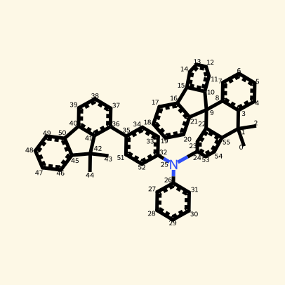 CC1(C)c2ccccc2C2(c3ccccc3-c3ccccc32)c2cc(N(c3ccccc3)c3ccc(-c4cccc5c4C(C)(C)c4ccccc4-5)cc3)ccc21